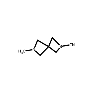 CN1CC2(CB(C#N)C2)C1